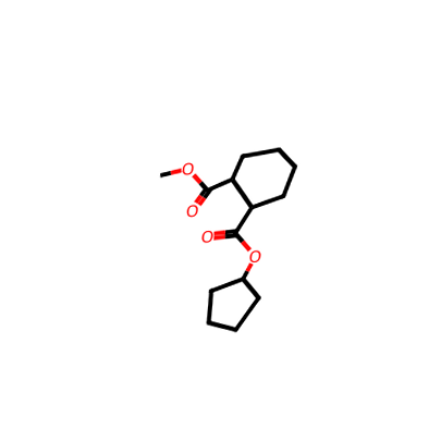 COC(=O)C1CCCCC1C(=O)OC1CCCC1